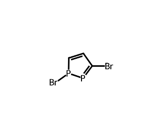 Brc1ccp(Br)p1